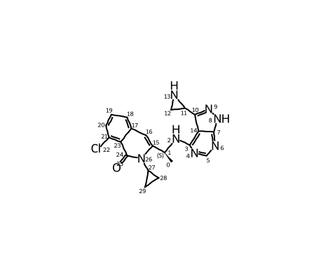 C[C@H](Nc1ncnc2[nH]nc(C3CN3)c12)c1cc2cccc(Cl)c2c(=O)n1C1CC1